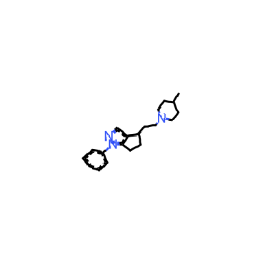 CC1CCN(CCC2CCc3c2cnn3-c2ccccc2)CC1